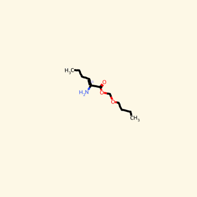 CCC/C=C(\N)C(=O)OCOCCCC